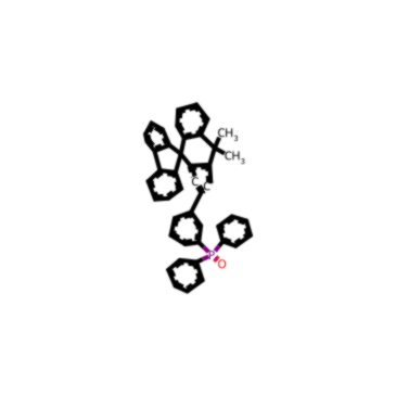 CC1(C)c2ccccc2C2(c3ccccc3-c3ccccc32)c2cc(-c3cccc(P(=O)(c4ccccc4)c4ccccc4)c3)ccc21